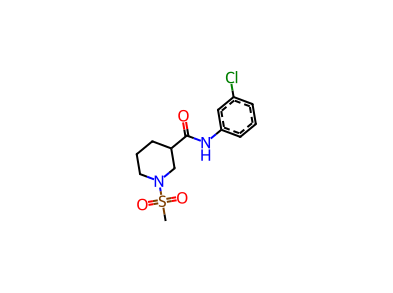 CS(=O)(=O)N1CCCC(C(=O)Nc2cccc(Cl)c2)C1